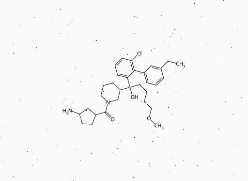 CCc1cccc(-c2c(Cl)cccc2C(O)(CCCCOC)C2CCCN(C(=O)C3CCC(N)C3)C2)c1